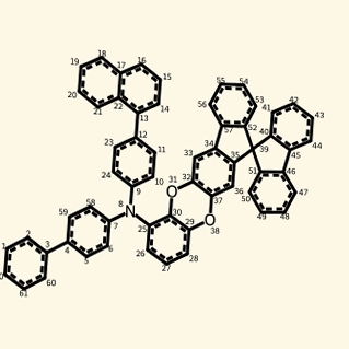 c1ccc(-c2ccc(N(c3ccc(-c4cccc5ccccc45)cc3)c3cccc4c3Oc3cc5c(cc3O4)C3(c4ccccc4-c4ccccc43)c3ccccc3-5)cc2)cc1